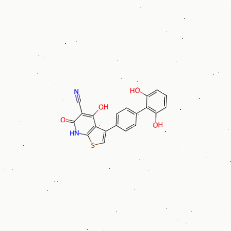 N#Cc1c(O)c2c(-c3ccc(-c4c(O)cccc4O)cc3)csc2[nH]c1=O